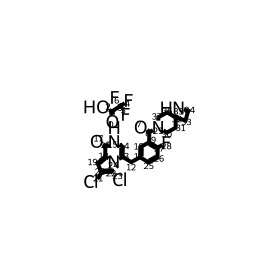 O=C(O)C(F)(F)F.O=C(c1cc(Cc2c[nH]c(=O)c3cc(Cl)c(Cl)n23)ccc1F)N1CCC2(CCN2)CC1